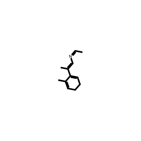 C/C=N\C=C(/C)C1=CCCC=C1C